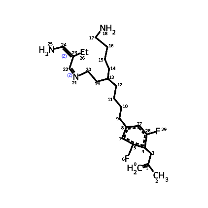 C=C(C)Cc1c(F)cc(CCCCC(CCCCN)CC/N=C\C(=C/N)CC)cc1F